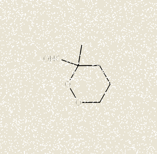 CC1([C]=O)CCCOO1